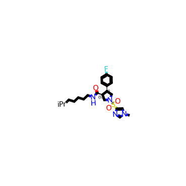 CC(C)CCCCCNC(=O)[C@@H]1CN(S(=O)(=O)c2cn(C)cn2)C[C@H]1c1ccc(F)cc1